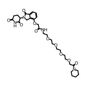 O=C(COc1cccc2c1CN(C1CCC(=O)NC1=O)C2=O)NCCOCCOCCOCCOCC(=O)N1CCCCC1